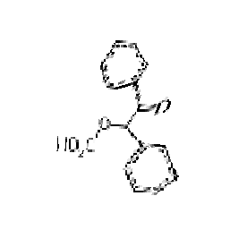 O=C(O)OC(C(=O)c1ccccc1)c1ccccc1